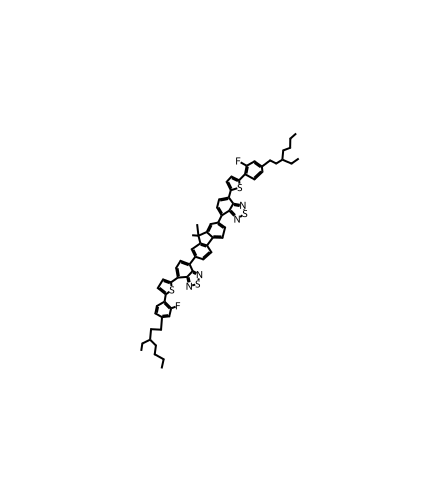 CCCCC(CC)CCc1ccc(-c2ccc(-c3ccc(-c4ccc5c(c4)C(C)(C)c4cc(-c6ccc(-c7ccc(-c8ccc(CCC(CC)CCCC)cc8F)s7)c7nsnc67)ccc4-5)c4nsnc34)s2)c(F)c1